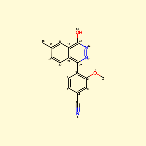 COc1cc(C#N)ccc1-c1nnc(O)c2cc(C)ccc12